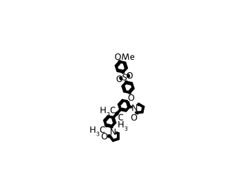 COc1ccc(S(=O)(=O)c2ccc(Oc3ccc(C(C)(C)c4ccc(C)c(N5CCCC5=O)c4)cc3N3CCCC3=O)cc2)cc1